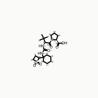 CC(C)(C)[C@H](NC(=O)NC1(C2CCS2(=O)=O)CCCCC1)C(=O)N1CCC[C@H]1C(=O)O